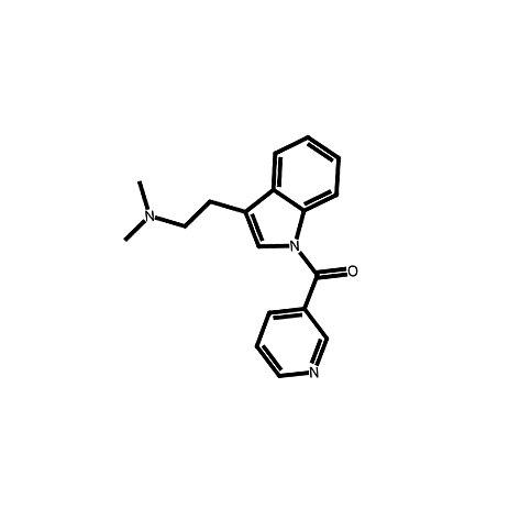 CN(C)CCc1cn(C(=O)c2cccnc2)c2ccccc12